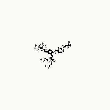 CCOC(=O)C(Cc1cc(CC(=O)OC(C)(C)C)ccc1OCc1ccnc(OCCC(F)(F)F)n1)OC(C)=O